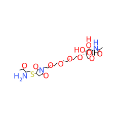 CC(=O)N[C@@H]1[C@H]2OC[C@](COCCOCCOCCOCCN3C(=O)CC(SC[C@H](N)C(C)=O)C3=O)(O2)[C@H](O)[C@@H]1O